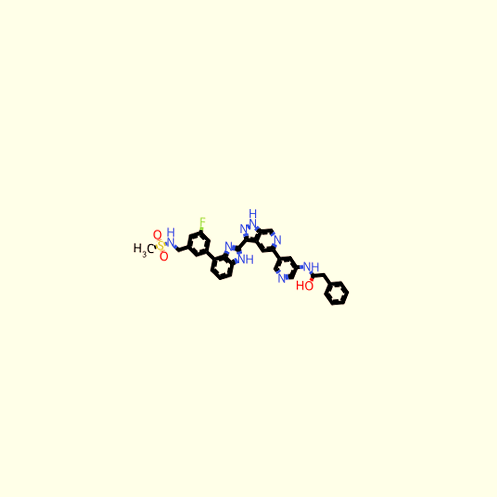 CS(=O)(=O)NCc1cc(F)cc(-c2cccc3[nH]c(-c4n[nH]c5cnc(-c6cncc(NC(O)Cc7ccccc7)c6)cc45)nc23)c1